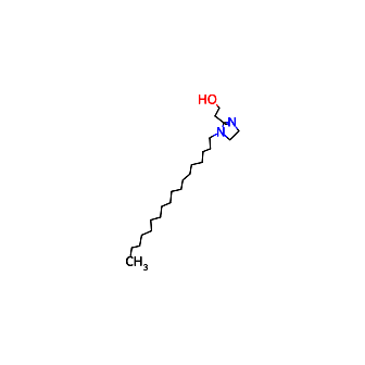 CCCCCCCCCCCCCCCCCCN1CCN=C1CCO